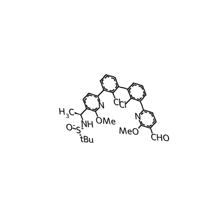 COc1nc(-c2cccc(-c3cccc(-c4ccc([C@H](C)N[S@+]([O-])C(C)(C)C)c(OC)n4)c3Cl)c2Cl)ccc1C=O